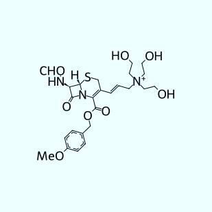 COc1ccc(COC(=O)C2=C(/C=C/C[N+](CCO)(CCO)CCO)CS[C@H]3[C@H](NC=O)C(=O)N23)cc1